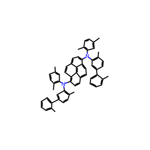 Cc1ccc(C)c(N(c2cc(-c3ccccc3C)ccc2C)c2ccc3ccc4c(N(c5cc(C)ccc5C)c5cc(-c6ccccc6C)ccc5C)ccc5ccc2c3c54)c1